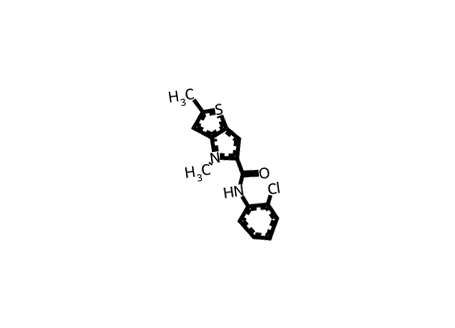 Cc1cc2c(cc(C(=O)Nc3ccccc3Cl)n2C)s1